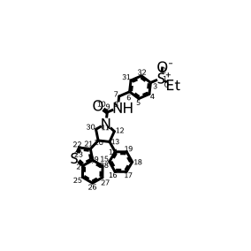 CC[S+]([O-])c1ccc(CNC(=O)N2CC(c3ccccc3)C(c3csc4ccccc34)C2)cc1